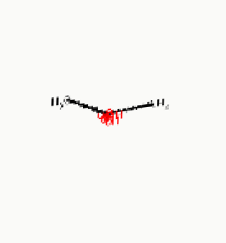 CCCCCCCCC=CCCCCCCCCOC(CCCCCCCCC=CCCCCCCCC)(C(=O)O)C(O)C(=O)O